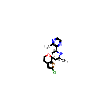 Cc1nccnc1[C@@H]1C[C@]2(C[C@H](C)N1)OCCc1cc(Cl)sc12